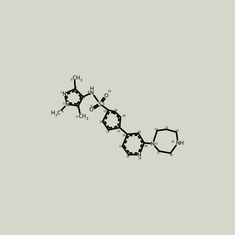 Cc1nn(C)c(C)c1NS(=O)(=O)c1ccc(-c2ccnc(N3CCCNCC3)c2)cc1